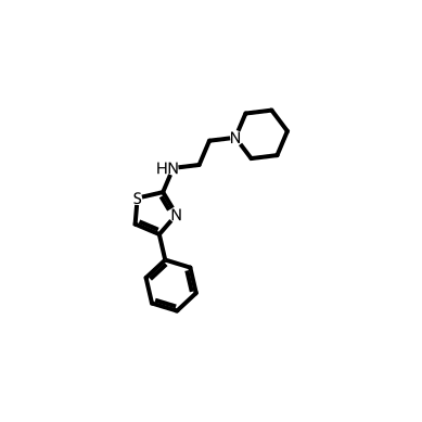 c1ccc(-c2csc(NCCN3CCCCC3)n2)cc1